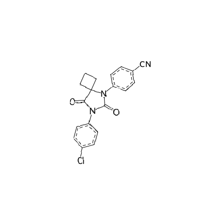 N#Cc1ccc(N2C(=O)N(c3ccc(Cl)cc3)C(=O)C23CCC3)cc1